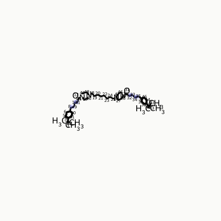 CC(C)(C)c1ccc(/C=C/C=C/C(=O)N2CCN(CCCCCCCCN3CCN(C(=O)/C=C/C=C/c4ccc(C(C)(C)C)cc4)CC3)CC2)cc1